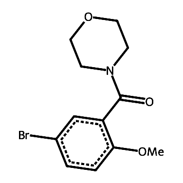 COc1ccc(Br)cc1C(=O)N1CCOCC1